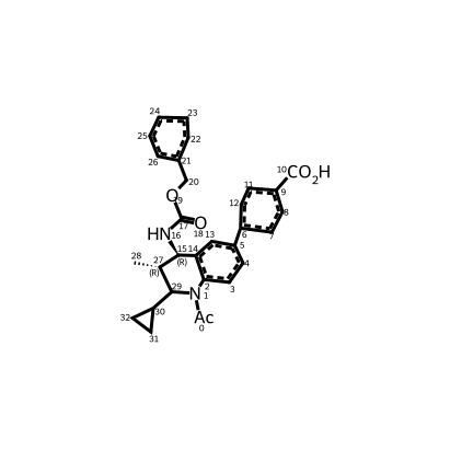 CC(=O)N1c2ccc(-c3ccc(C(=O)O)cc3)cc2[C@H](NC(=O)OCc2ccccc2)[C@@H](C)C1C1CC1